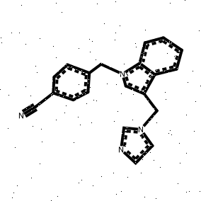 N#Cc1ccc(Cn2cc(Cn3ccnc3)c3ccccc32)cc1